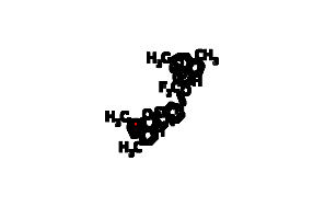 C[C@@H]1CC[C@H]2C[C@](OCCN3CCN(CC4=C(C(F)(F)F)O[C@@H]5O[C@]6(C)CCC7[C@H](C)CC[C@@H]4[C@]75OO6)CC3)(C(F)(F)F)OC3O[C@]4(C)CCC1[C@]32OO4